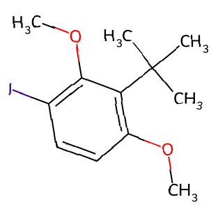 COc1ccc(I)c(OC)c1C(C)(C)C